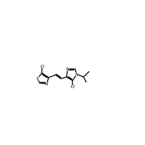 CC(C)n1cnc(C=Cc2ncsc2Cl)c1Cl